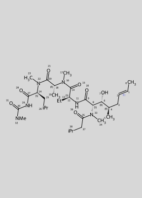 C/C=C/C[C@@H](C)[C@@H](O)[C@@H](C(=O)N[C@@H](CC)C(=O)N(C)[C@H](C)C(=O)N(C)[C@@H](CC(C)C)C(=O)NC(=O)NC)N(C)C(=O)CC(C)C